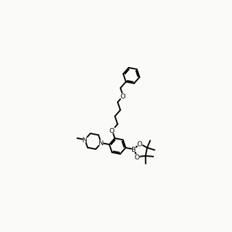 CN1CCN(c2ccc(B3OC(C)(C)C(C)(C)O3)cc2OCCCCOCc2ccccc2)CC1